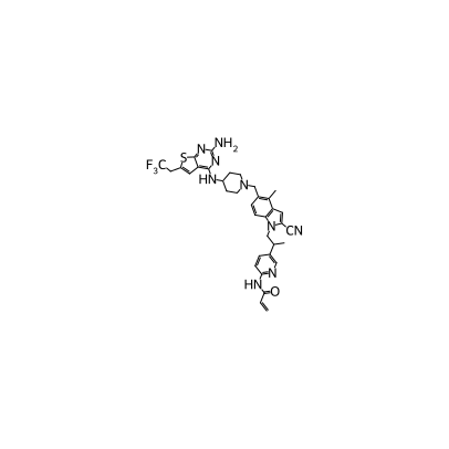 C=CC(=O)Nc1ccc(C(C)Cn2c(C#N)cc3c(C)c(CN4CCC(Nc5nc(N)nc6sc(CC(F)(F)F)cc56)CC4)ccc32)cn1